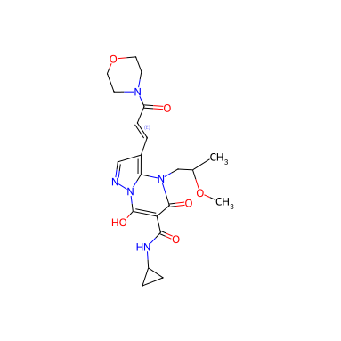 COC(C)Cn1c(=O)c(C(=O)NC2CC2)c(O)n2ncc(/C=C/C(=O)N3CCOCC3)c12